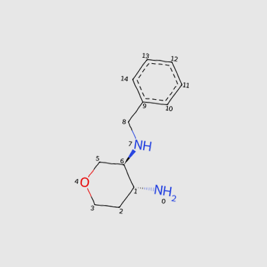 N[C@@H]1CCOC[C@H]1NCc1ccccc1